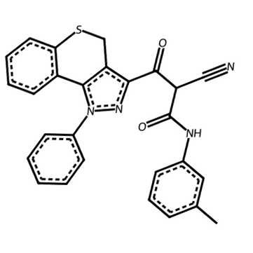 Cc1cccc(NC(=O)C(C#N)C(=O)c2nn(-c3ccccc3)c3c2CSc2ccccc2-3)c1